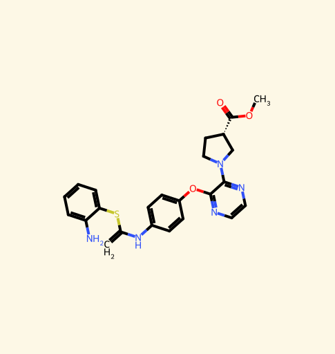 C=C(Nc1ccc(Oc2nccnc2N2CC[C@H](C(=O)OC)C2)cc1)Sc1ccccc1N